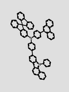 c1ccc(-n2c3cc(-c4ccc(N(c5ccc(-c6cc7ccccc7c7ccccc67)cc5)c5ccc6c(c5)C5(c7ccccc7-c7ccccc75)c5ccccc5-6)cc4)ccc3c3ccc4ccccc4c32)cc1